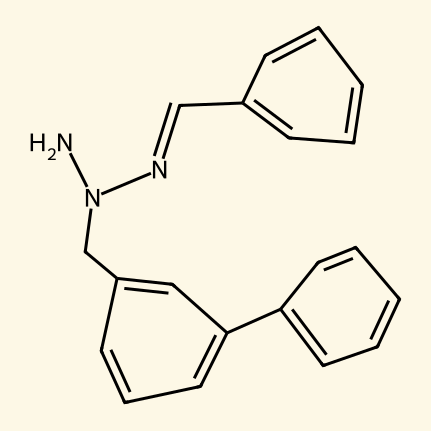 NN(Cc1cccc(-c2ccccc2)c1)N=Cc1ccccc1